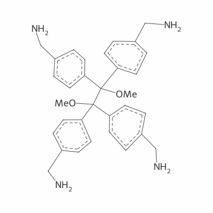 COC(c1ccc(CN)cc1)(c1ccc(CN)cc1)C(OC)(c1ccc(CN)cc1)c1ccc(CN)cc1